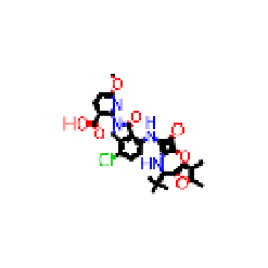 COc1ccc(C(=O)O)c(N2Cc3c(Cl)ccc(Nc4c(N[C@@H](c5cc(C)c(C)o5)C(C)(C)C)c(=O)c4=O)c3C2=O)n1